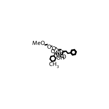 COCCOCOC[C@H](C[C@H](CCc1ccccc1)C(=O)NO)NC(=O)[C@H]1CC[C@H](C)CC1